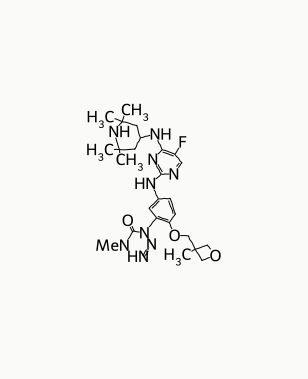 CNC(=O)N(N=N)c1cc(Nc2ncc(F)c(NC3CC(C)(C)NC(C)(C)C3)n2)ccc1OCC1(C)COC1